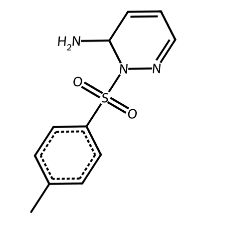 Cc1ccc(S(=O)(=O)N2N=CC=CC2N)cc1